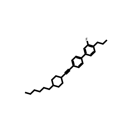 CCCCCCC1CCC(C#Cc2ccc(-c3ccc(CCC)c(F)c3)cc2)CC1